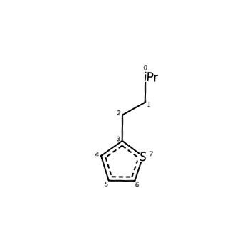 [CH2]C(C)CCc1cccs1